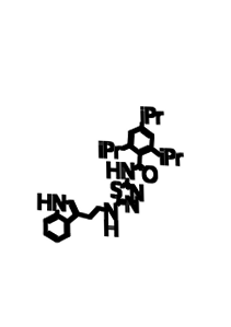 CC(C)c1cc(C(C)C)c(C(=O)Nc2nnc(NCCc3c[nH]c4ccccc34)s2)c(C(C)C)c1